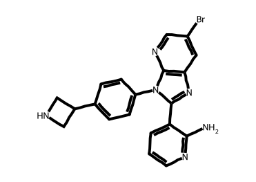 Nc1ncccc1-c1nc2cc(Br)cnc2n1-c1ccc(C2CNC2)cc1